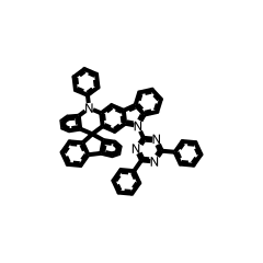 c1ccc(-c2nc(-c3ccccc3)nc(-n3c4ccccc4c4cc5c(cc43)C3(c4ccccc4-c4ccccc43)c3ccccc3N5c3ccccc3)n2)cc1